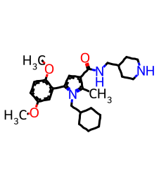 COc1ccc(OC)c(-c2cc(C(=O)NCC3CCNCC3)c(C)n2CC2CCCCC2)c1